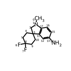 CN1CC2(CCC(F)(F)CC2)c2cc(N)ccc21